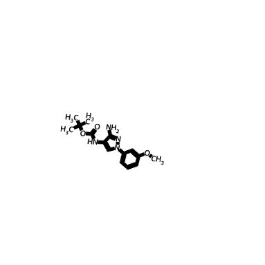 COc1cccc(-n2cc(NC(=O)OC(C)(C)C)c(N)n2)c1